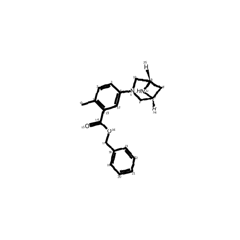 Cc1ccc(N2C[C@H]3C[C@@H](C2)N3)cc1C(=O)OCc1ccccc1